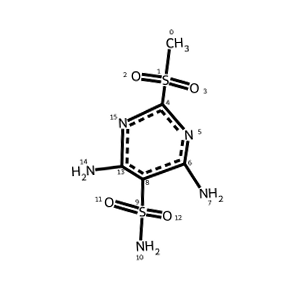 CS(=O)(=O)c1nc(N)c(S(N)(=O)=O)c(N)n1